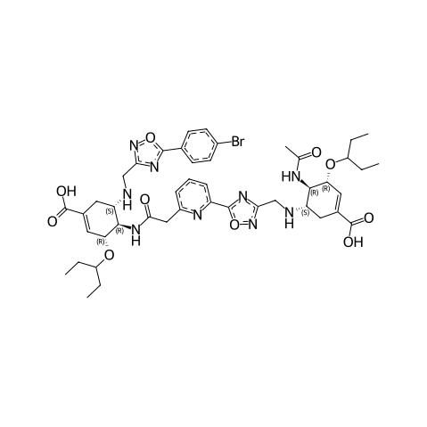 CCC(CC)O[C@@H]1C=C(C(=O)O)C[C@H](NCc2noc(-c3cccc(CC(=O)N[C@@H]4[C@@H](NCc5noc(-c6ccc(Br)cc6)n5)CC(C(=O)O)=C[C@H]4OC(CC)CC)n3)n2)[C@H]1NC(C)=O